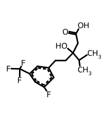 CC(C)C(O)(CCc1cc(F)cc(C(F)(F)F)c1)CC(=O)O